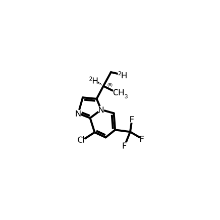 [2H]C[C@@]([2H])(C)c1cnc2c(Cl)cc(C(F)(F)F)cn12